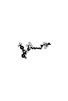 COc1cccc2c1oc1c(O[C@@H]3C[C@@H](C(N)=O)N(C(=O)CCCCCC/C=C\[C@@H]4C[C@@H]4C(=O)NS(=O)(=O)C4CC4)C3)nc(-c3ccc(C(F)(F)F)cc3)nc12